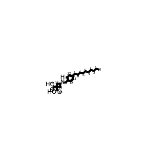 CCCCCCCCCCc1ccc(CNC2CC(C(=O)O)(C(=O)O)C2)cc1